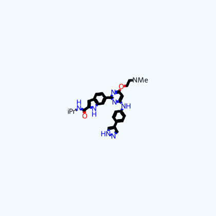 CNCCOc1cc(Nc2ccc(-c3cn[nH]c3)cc2)nc(-c2ccc3cc(C(=O)NC(C)C)[nH]c3c2)n1